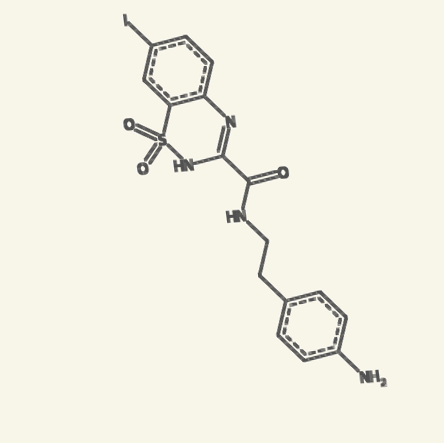 Nc1ccc(CCNC(=O)C2=Nc3ccc(I)cc3S(=O)(=O)N2)cc1